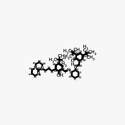 CC(C)(C)c1cc(/C=N/[C@H]2CCCCC2/N=C/c2cc(C(C)(C)C)cc(C(C)(C)C)c2O)c(O)c(CCCN2CCCN3CCCN=C32)c1